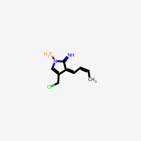 C/C=C\C=C1/C(=N)N(P)C=C1CCl